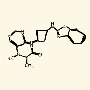 CC1C(=O)N(C2CC(Nc3nc4ccccc4s3)C2)c2ncncc2N1C